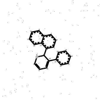 C1=COC(c2cccc3ccccc23)C(c2ccccc2)=C1